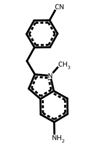 Cn1c(Cc2ccc(C#N)cc2)cc2cc(N)ccc21